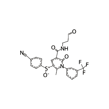 Cc1c([S+]([O-])c2ccc(C#N)cc2)cc(C(=O)NCCC=O)c(=O)n1-c1cccc(C(F)(F)F)c1